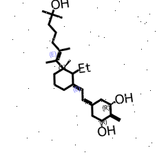 C=C1[C@H](O)CC(=C/C=C2\CCC[C@](C)(/C(C)=C(\C)CCCC(C)(C)O)C2CC)C[C@H]1O